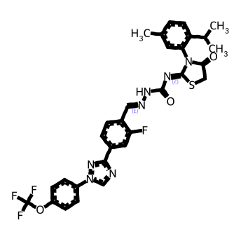 Cc1ccc(C(C)C)c(N2C(=O)CS/C2=N\C(=O)N/N=C/c2ccc(-c3ncn(-c4ccc(OC(F)(F)F)cc4)n3)cc2F)c1